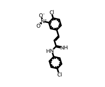 N=C(/C=C/c1ccc(Cl)c([N+](=O)[O-])c1)Nc1ccc(Cl)cc1